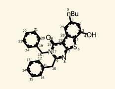 CCCCc1cc(O)c2sc3nc(Cc4ccccc4)n(Cc4ccccc4)c(=O)c3c2c1